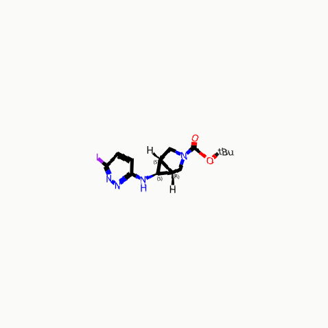 CC(C)(C)OC(=O)N1C[C@@H]2[C@H](C1)[C@H]2Nc1ccc(I)nn1